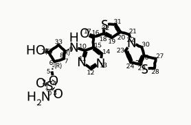 NS(=O)(=O)OC[C@H]1C[C@@H](Nc2ncncc2C(=O)c2cc(CN3C=CC4=C(CCS4)C3)cs2)C[C@@H]1O